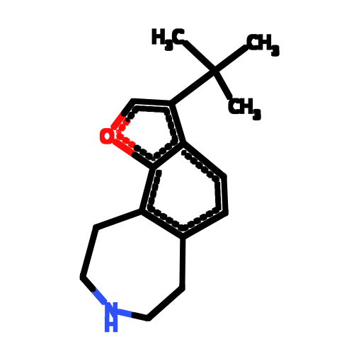 CC(C)(C)c1coc2c3c(ccc12)CCNCC3